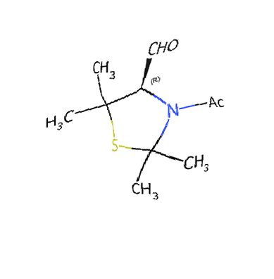 CC(=O)N1[C@H](C=O)C(C)(C)SC1(C)C